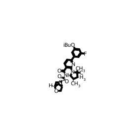 CC(C)COc1cc(F)cc(-c2ccc(C(=O)NS(=O)(=O)N3C[C@H]4CC3CO4)c(N3C[C@@H](C)CC3(C)C)n2)c1